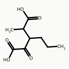 CCCC(C(=O)C(=O)O)C(C)C(=O)O